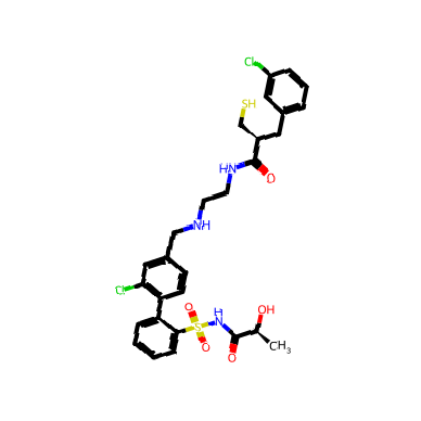 C[C@H](O)C(=O)NS(=O)(=O)c1ccccc1-c1ccc(CNCCNC(=O)[C@@H](CS)Cc2cccc(Cl)c2)cc1Cl